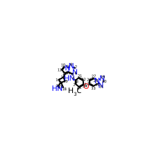 Cc1cc(Nc2ncnn3ccc(C4CC5(CNC5)C4)c23)ccc1Oc1ccn2ncnc2c1